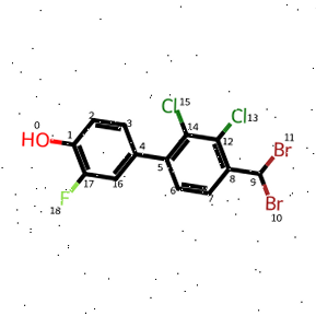 Oc1ccc(-c2ccc(C(Br)Br)c(Cl)c2Cl)cc1F